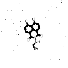 CC(C)CNN1C(=O)c2ccc(Cl)c3c(Cl)ccc(c23)C1=O